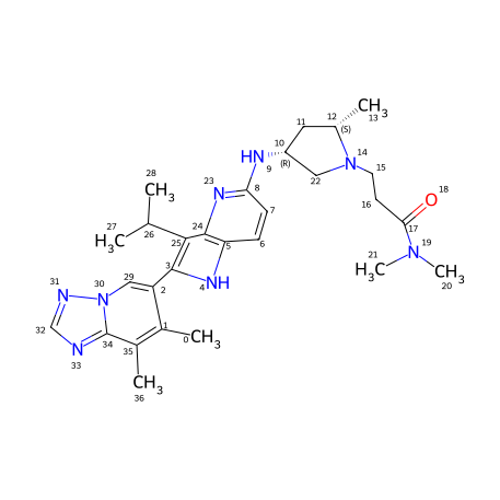 Cc1c(-c2[nH]c3ccc(N[C@@H]4C[C@H](C)N(CCC(=O)N(C)C)C4)nc3c2C(C)C)cn2ncnc2c1C